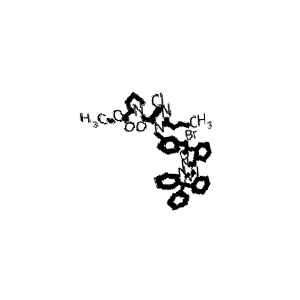 CCCCc1nc(Cl)c(C(=O)N2CCCC2C(=O)OCC)n1Cc1ccc2oc(-c3ccccc3-c3nnn(C(c4ccccc4)(c4ccccc4)c4ccccc4)n3)c(Br)c2c1